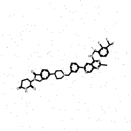 Cc1nc(N[C@H](C)c2cccc(C(F)F)c2F)c2cc(-c3cccc(CN4CCC(c5ccc6c(c5)CN(C5CCC(=O)NC5=O)C6=O)CC4)c3)ncc2n1